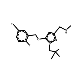 CNCc1cc(OCc2cc(Cl)ccc2F)n(CC(C)(C)C)n1